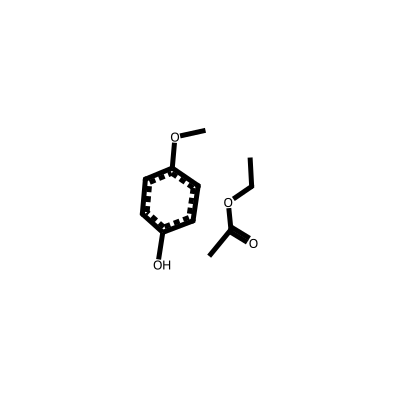 CCOC(C)=O.COc1ccc(O)cc1